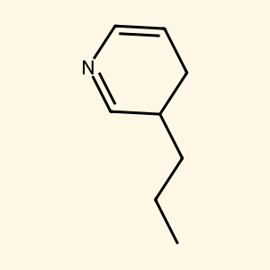 CCCC1C=NC=CC1